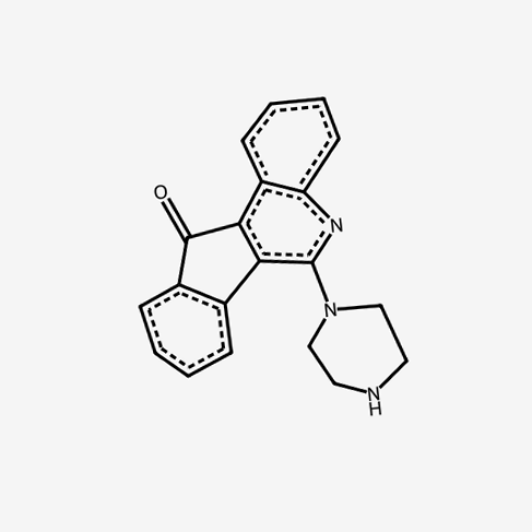 O=C1c2ccccc2-c2c(N3CCNCC3)nc3ccccc3c21